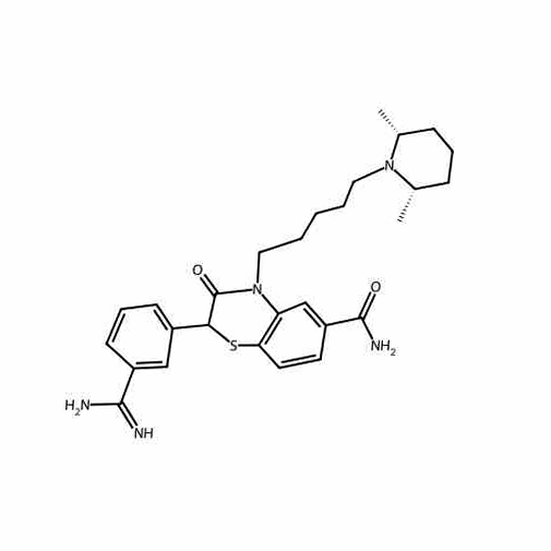 C[C@@H]1CCC[C@H](C)N1CCCCCN1C(=O)C(c2cccc(C(=N)N)c2)Sc2ccc(C(N)=O)cc21